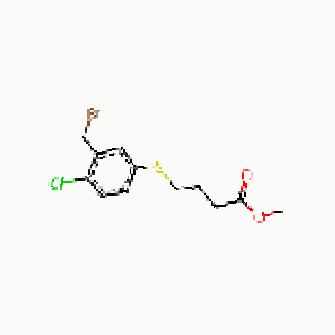 COC(=O)CCCSc1ccc(Cl)c(CBr)c1